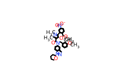 COC(=O)c1ccc([N+](=O)[O-])cc1-c1cc(C(=O)N(Cc2cccc(OC)c2C)c2ccc3c(cnn3C3CCCCO3)c2)c(C)n1C